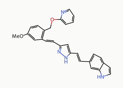 COc1ccc(COc2ccccn2)c(/C=C/c2cc(/C=C/c3ccc4cc[nH]c4c3)[nH]n2)c1